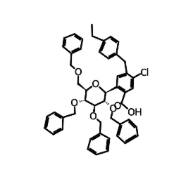 CCc1ccc(Cc2cc([C@@H]3O[C@H](COCc4ccccc4)[C@@H](OCc4ccccc4)[C@H](OCc4ccccc4)[C@H]3OCc3ccccc3)c(C(=O)O)cc2Cl)cc1